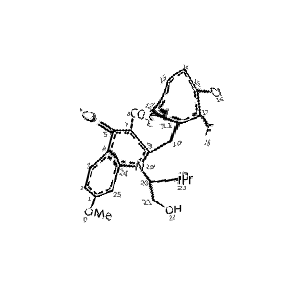 COc1ccc2c(=O)c(C(=O)O)c(Cc3cccc(Cl)c3F)n(C(CO)C(C)C)c2c1